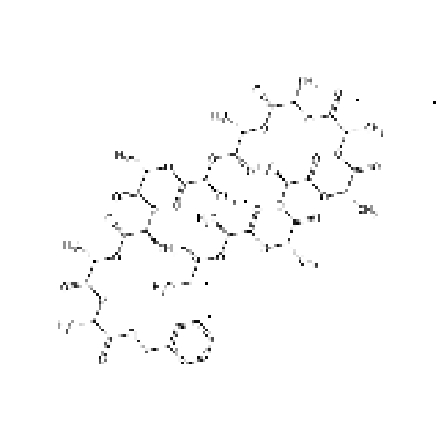 C[CH]C(=O)O[C@@H](C)C(=O)O[C@@H](C)C(=O)O[C@@H](C)C(=O)O[C@@H](C)C(=O)O[C@@H](C)C(=O)O[C@@H](C)C(=O)O[C@@H](C)C(=O)O[C@@H](C)C(=O)O[C@@H](C)C(=O)O[C@@H](C)C(=O)O[C@@H](C)C(=O)O[C@@H](C)C(=O)OCc1ccccc1